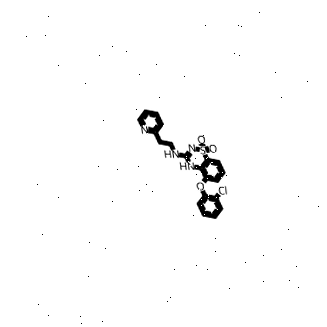 O=S1(=O)N=C(NCCc2ccccn2)Nc2c(Oc3ccccc3Cl)cccc21